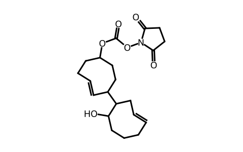 O=C(OC1CC/C=C/C(C2C/C=C/CCCC2O)CC1)ON1C(=O)CCC1=O